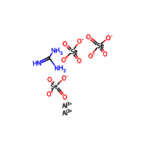 N=C(N)N.O=[Se](=O)([O-])[O-].O=[Se](=O)([O-])[O-].O=[Se](=O)([O-])[O-].[Al+3].[Al+3]